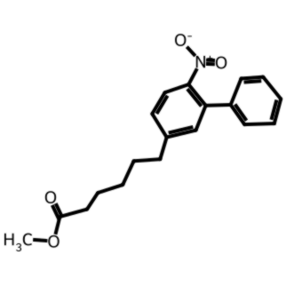 COC(=O)CCCCCc1ccc([N+](=O)[O-])c(-c2ccccc2)c1